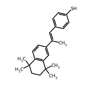 CC(=Cc1ccc(S)cc1)c1ccc2c(c1)C(C)(C)CCC2(C)C